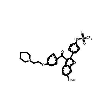 COc1ccc2c(C(=O)c3ccc(OCCN4CCCCC4)cc3)c(-c3ccc(NS(=O)(=O)C(F)(F)F)cc3)sc2c1